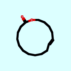 O=C1CCCCCCCCC/C=C/CCCCO1